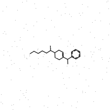 CCCCCC(C)C1CC=C(C(C)c2ccccc2)CC1